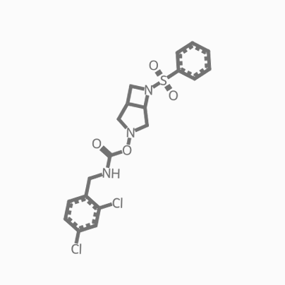 O=C(NCc1ccc(Cl)cc1Cl)ON1CC2CN(S(=O)(=O)c3ccccc3)C2C1